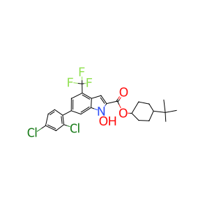 CC(C)(C)C1CCC(OC(=O)c2cc3c(C(F)(F)F)cc(-c4ccc(Cl)cc4Cl)cc3n2O)CC1